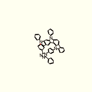 c1ccc(-c2nnc(-c3ccccc3)n2-c2ccc(-n3c4ccccc4c4ccc5c(c6cc7ccn(-c8ccccc8)c7cc6n5-c5ccccc5)c43)cc2)cc1